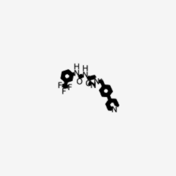 O=C(Nc1cccc(C(F)(F)F)c1)Nc1c[n+](Cc2ccc(-c3ccncc3)cc2)no1